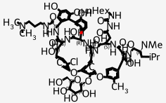 CCCCCCNC(=O)NC(=O)C[C@@H]1NC(=O)[C@H](NC(=O)[C@@H](CC(C)C)NC)[C@H](O)c2ccc(c(C)c2)Oc2cc3cc(c2O[C@@H]2O[C@H](CO)[C@@H](O)[C@H](O)[C@H]2O)Oc2ccc(cc2Cl)[C@@H](O)[C@@H]2NC(=O)[C@H](NC(=O)[C@@H]3NC1=O)c1ccc(O)c(c1)-c1c(O)cc(O)cc1[C@@H](C(=O)NCCCN(C)C)NC2=O